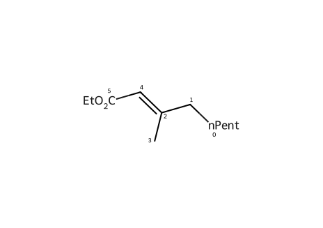 CCCCCC/C(C)=C/C(=O)OCC